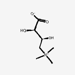 C[N+](C)(C)C[C@H](O)[C@@H](O)C(=O)[O-]